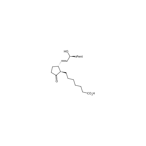 CCCCC[C@H](O)C=C[C@H]1CCC(=O)[C@@H]1CCCCCCC(=O)O